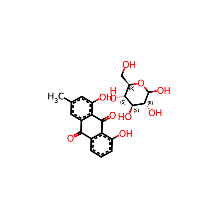 Cc1cc(O)c2c(c1)C(=O)c1cccc(O)c1C2=O.OC[C@H]1OC(O)[C@H](O)[C@@H](O)[C@@H]1O